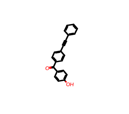 O=C(c1ccc(O)cc1)c1ccc(C#Cc2ccccc2)cc1